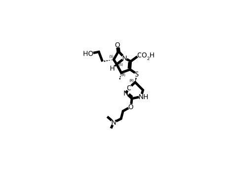 C[C@H]1C(S[C@H]2CN=C(OCCN(C)C)NC2)=C(C(=O)O)N2C(=O)[C@@H](CCO)[C@@H]12